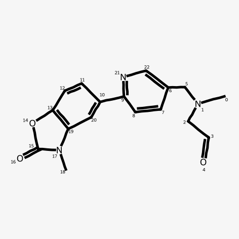 CN(CC=O)Cc1ccc(-c2ccc3oc(=O)n(C)c3c2)nc1